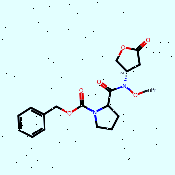 CCCON(C(=O)C1CCCN1C(=O)OCc1ccccc1)[C@@H]1COC(=O)C1